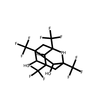 OC1C2(C(F)(F)F)CC3(C(F)(F)F)C(O)C(C(F)(F)F)(CC1(C(F)(F)F)C3O)P2